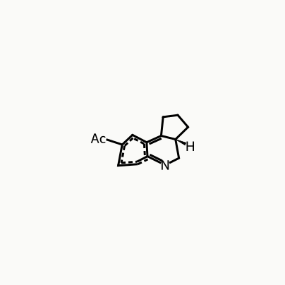 CC(=O)c1ccc2c(c1)=C1CCC[C@@H]1CN=2